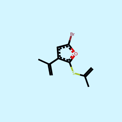 C=C(C)Sc1oc(Br)cc1C(=C)C